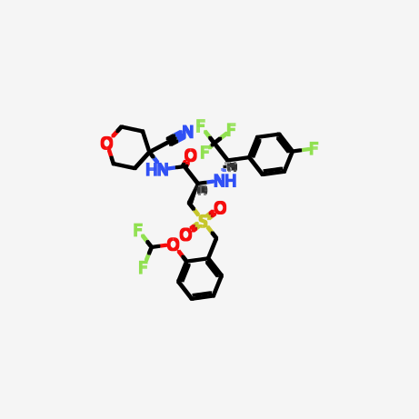 N#CC1(NC(=O)[C@H](CS(=O)(=O)Cc2ccccc2OC(F)F)N[C@@H](c2ccc(F)cc2)C(F)(F)F)CCOCC1